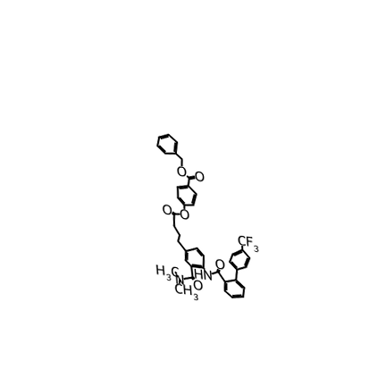 CN(C)C(=O)c1cc(CCCC(=O)Oc2ccc(C(=O)OCc3ccccc3)cc2)ccc1NC(=O)c1ccccc1-c1ccc(C(F)(F)F)cc1